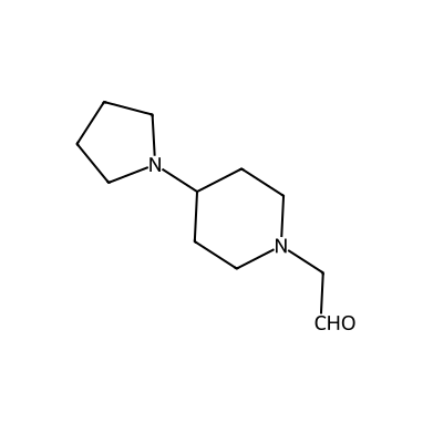 O=CCN1CCC(N2CCCC2)CC1